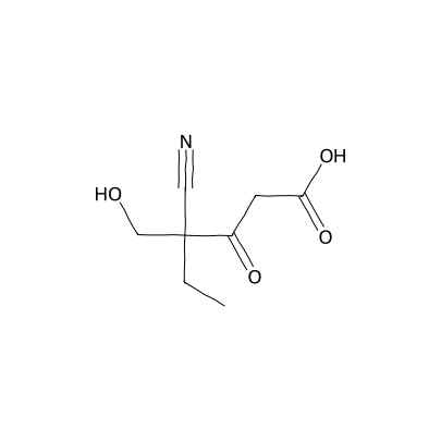 CCC(C#N)(CO)C(=O)CC(=O)O